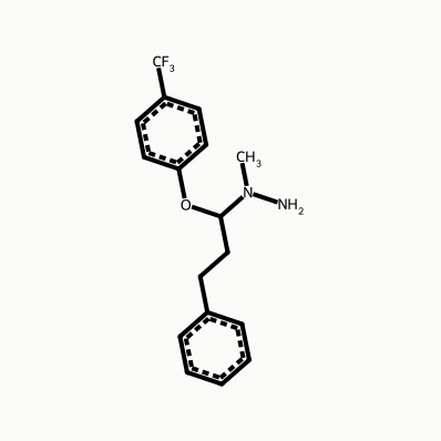 CN(N)C(CCc1ccccc1)Oc1ccc(C(F)(F)F)cc1